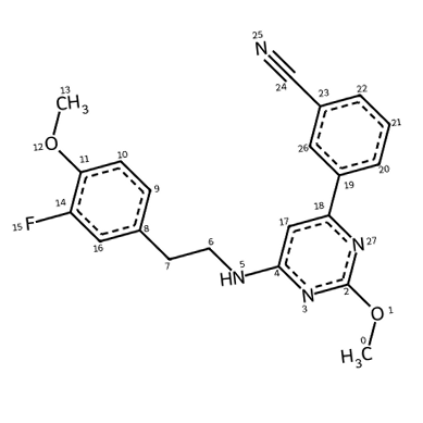 COc1nc(NCCc2ccc(OC)c(F)c2)cc(-c2cccc(C#N)c2)n1